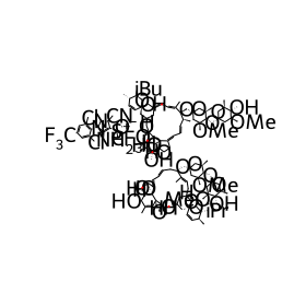 CC[C@H](C)[C@H]1O[C@]2(C=C[C@@H]1C)C[C@@H]1C[C@@H](C/C=C(\C)[C@@H](O[C@H]3C[C@H](OC)[C@@H](O[C@H]4C[C@H](OC)[C@@H](O)[C@H](C)O4)[C@H](C)O3)[C@@H](C)/C=C/C=C3\CO[C@@H]4[C@H](O)C(C)=C[C@@H](C(=O)O1)[C@]34O)O2.CO[C@H]1C[C@H](O[C@H]2[C@H](C)O[C@@H](O[C@@H]3/C(C)=C/C[C@@H]4C[C@@H](C[C@]5(C=C[C@H](C)[C@@H](C(C)C)O5)O4)OC(=O)[C@@H]4C=C(C)[C@@H](O)[C@H]5OC/C(=C\C=C\[C@@H]3C)[C@]54O)C[C@@H]2OC)O[C@@H](C)[C@@H]1O.N#Cc1nn(-c2c(Cl)cc(C(F)(F)F)cc2Cl)c(N)c1[S+]([O-])C(F)(F)F